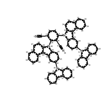 N#Cc1ccc(-n2c3ccc(-n4c5ccccc5c5ccccc54)cc3c3c4ccccc4ccc32)c(C#N)c1-n1c2ccc(-n3c4ccccc4c4ccccc43)cc2c2c3ccccc3ccc21